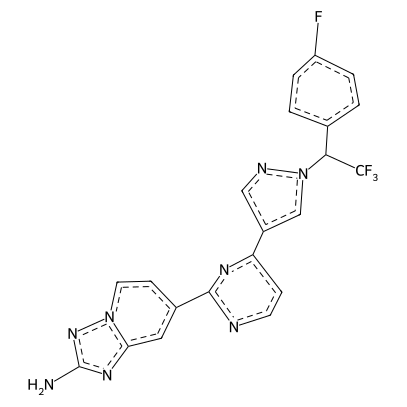 Nc1nc2cc(-c3nccc(-c4cnn(C(c5ccc(F)cc5)C(F)(F)F)c4)n3)ccn2n1